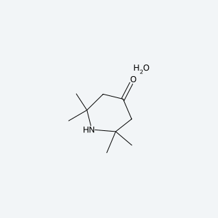 CC1(C)CC(=O)CC(C)(C)N1.O